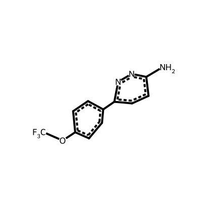 Nc1ccc(-c2ccc(OC(F)(F)F)cc2)nn1